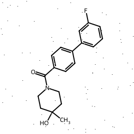 CC1(O)CCN(C(=O)c2ccc(-c3cccc(F)c3)cc2)CC1